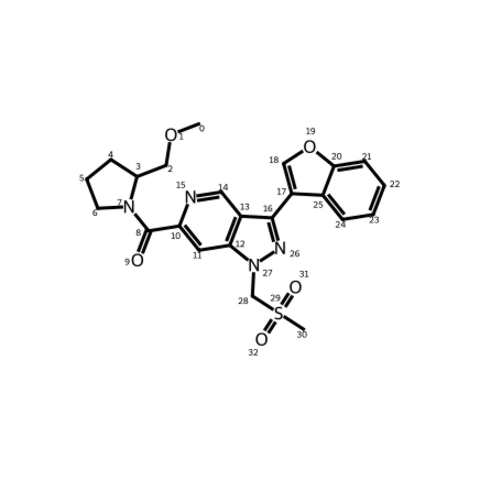 COCC1CCCN1C(=O)c1cc2c(cn1)c(-c1coc3ccccc13)nn2CS(C)(=O)=O